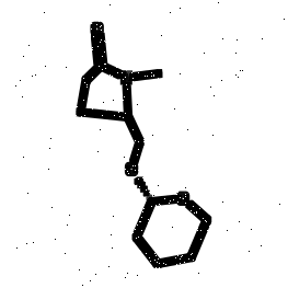 CN1C(=O)CCC1CO[C@H]1CCCCO1